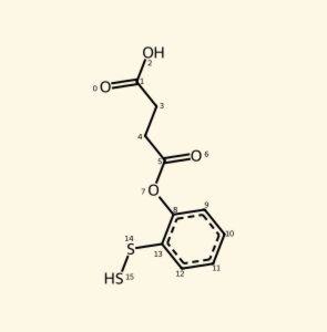 O=C(O)CCC(=O)Oc1ccccc1SS